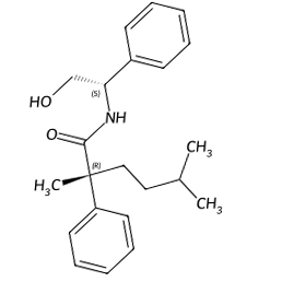 CC(C)CC[C@@](C)(C(=O)N[C@H](CO)c1ccccc1)c1ccccc1